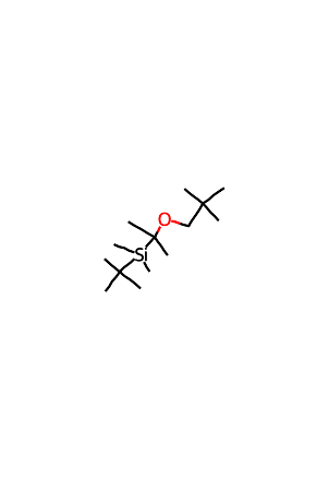 CC(C)(C)COC(C)(C)[Si](C)(C)C(C)(C)C